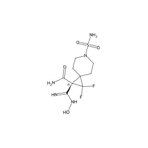 N=C(NO)[C@]1(C(N)=O)C(F)(F)C12CCN(S(N)(=O)=O)CC2